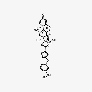 CC(C)(C)Nc1cccc(Cc2csc([C@@H]3O[C@@H]4C[C@H]5[C@@H]6CCC7=CC(=O)C=C[C@]7(C)[C@@]6(F)[C@@H](O)C[C@]5(C)[C@]4(C(=O)CO)O3)c2)c1